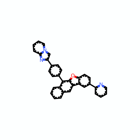 c1ccc(-c2ccc3oc4c(-c5ccc(-c6cn7ccccc7n6)cc5)c5ccccc5cc4c3c2)nc1